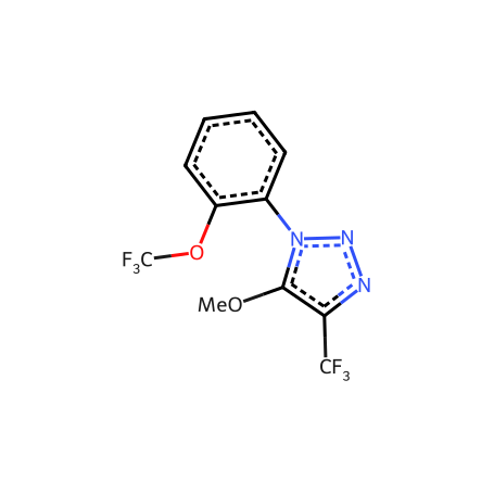 COc1c(C(F)(F)F)nnn1-c1ccccc1OC(F)(F)F